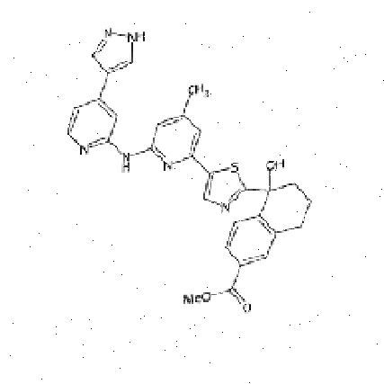 COC(=O)c1ccc2c(c1)CCCC2(O)c1ncc(-c2cc(C)cc(Nc3cc(-c4cn[nH]c4)ccn3)n2)s1